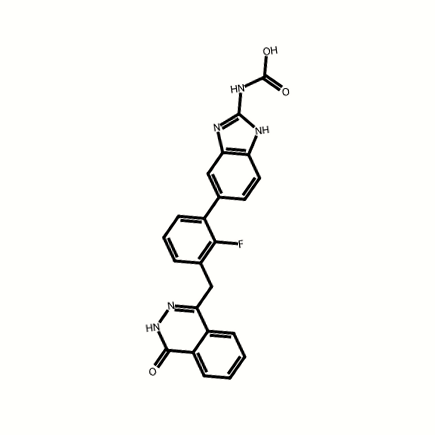 O=C(O)Nc1nc2cc(-c3cccc(Cc4n[nH]c(=O)c5ccccc45)c3F)ccc2[nH]1